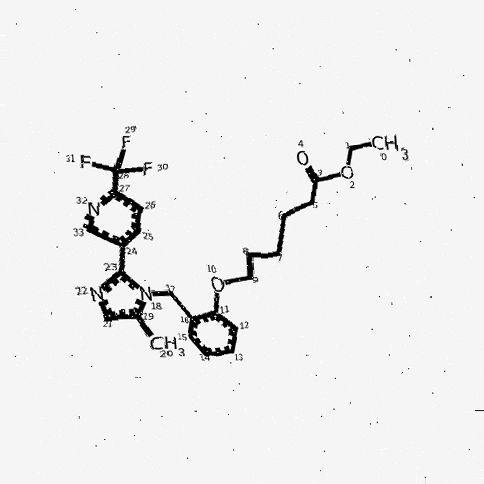 CCOC(=O)CCCCCOc1ccccc1Cn1c(C)cnc1-c1ccc(C(F)(F)F)nc1